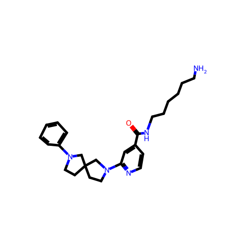 NCCCCCCNC(=O)c1ccnc(N2CCC3(CCN(c4ccccc4)C3)C2)c1